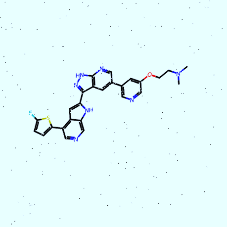 CN(C)CCOc1cncc(-c2cnc3[nH]nc(-c4cc5c(-c6ccc(F)s6)cncc5[nH]4)c3c2)c1